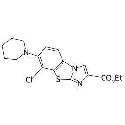 CCOC(=O)c1cn2c(n1)sc1c(Cl)c(N3CCCCC3)ccc12